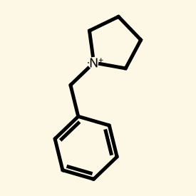 c1ccc(C[N+]2CCCC2)cc1